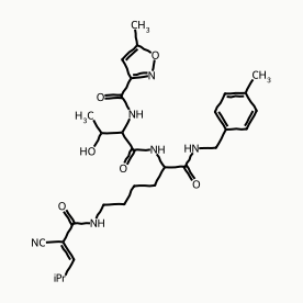 Cc1ccc(CNC(=O)C(CCCCNC(=O)C(C#N)=CC(C)C)NC(=O)C(NC(=O)c2cc(C)on2)C(C)O)cc1